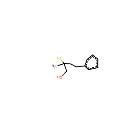 CC(S)(CO)CCc1ccccc1